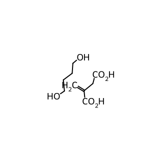 C=C(CC(=O)O)C(=O)O.OCCCCO